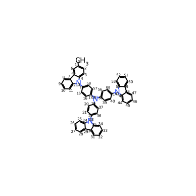 Cc1ccc2c(c1)c1ccccc1n2-c1ccc(N(c2ccc(-n3c4ccccc4c4ccccc43)cc2)c2ccc(-n3c4ccccc4c4ccccc43)cc2)cc1